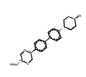 CCCCCC[C@@H]1CO[C@@H](c2ccc(-c3ccc([C@H]4CC[C@H](CC)CC4)cc3)cc2)CO1